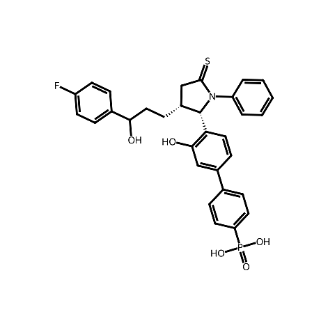 O=P(O)(O)c1ccc(-c2ccc([C@@H]3[C@H](CCC(O)c4ccc(F)cc4)CC(=S)N3c3ccccc3)c(O)c2)cc1